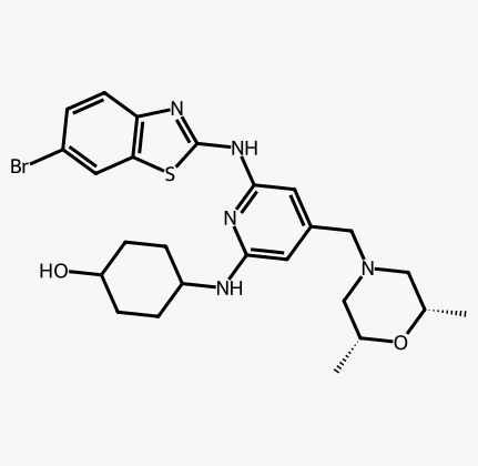 C[C@@H]1CN(Cc2cc(Nc3nc4ccc(Br)cc4s3)nc(NC3CCC(O)CC3)c2)C[C@H](C)O1